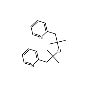 CC(C)(Cc1ccccn1)OC(C)(C)Cc1ccccn1